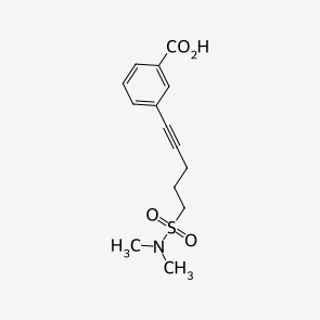 CN(C)S(=O)(=O)CCCC#Cc1cccc(C(=O)O)c1